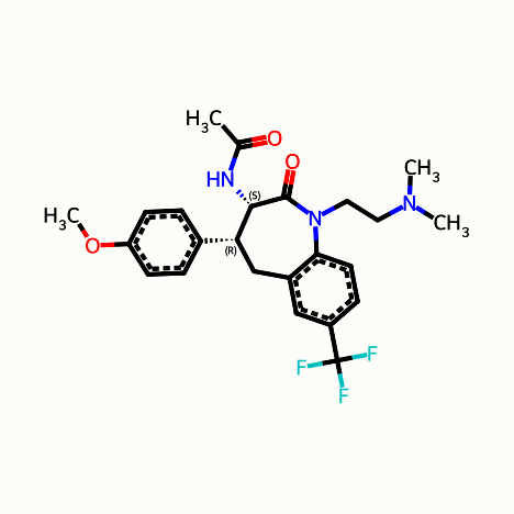 COc1ccc([C@H]2Cc3cc(C(F)(F)F)ccc3N(CCN(C)C)C(=O)[C@H]2NC(C)=O)cc1